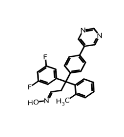 Cc1ccccc1C(C/C=N/O)(c1ccc(-c2cncnc2)cc1)c1cc(F)cc(F)c1